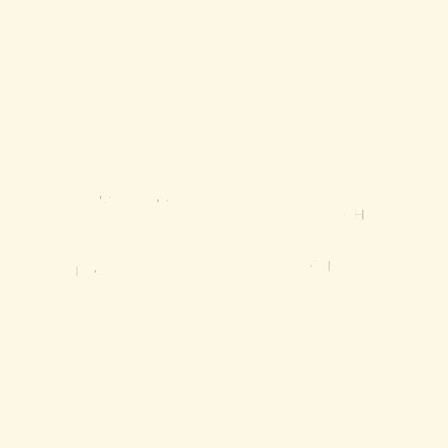 CC(C)CC1CCC(CC(C)C2OCCO2)CC1